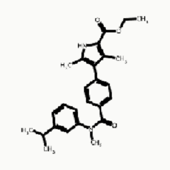 CCOC(=O)c1[nH]c(C)c(-c2ccc(C(=O)N(C)c3cccc(C(C)C)c3)cc2)c1C